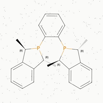 C[C@@H]1c2ccccc2[C@@H](C)P1c1ccccc1P1[C@H](C)c2ccccc2[C@H]1C